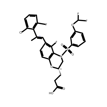 C/C(=C\c1ccc2c(c1F)N(S(=O)(=O)c1cccc(OC(F)F)c1)C[C@H](CCC(=O)O)O2)c1c(F)cccc1Cl